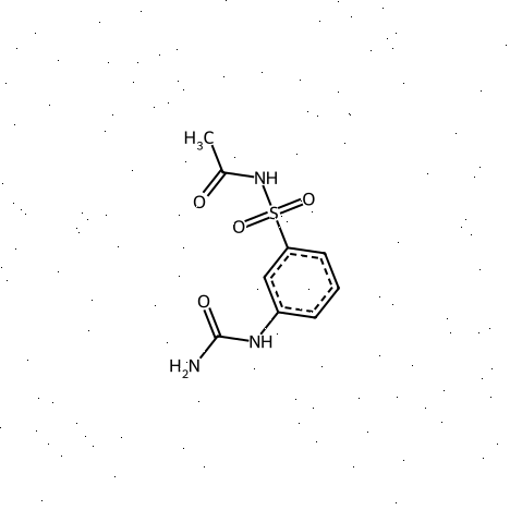 CC(=O)NS(=O)(=O)c1cccc(NC(N)=O)c1